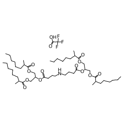 CCCCCCC(C)C(=O)OCC(COC(=O)C(C)CCCCCC)OC(=O)CCCNCCCC(=O)OC(COC(=O)C(C)CCCCCC)COC(=O)C(C)CCCCCC.O=C(O)C(F)(F)F